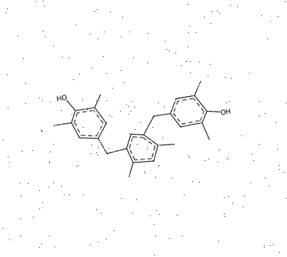 Cc1cc(C)c(Cc2cc(C)c(O)c(C)c2)cc1Cc1cc(C)c(O)c(C)c1